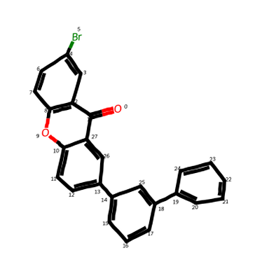 O=c1c2cc(Br)ccc2oc2ccc(-c3cccc(-c4ccccc4)c3)cc12